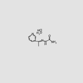 CC(=NNC(N)=O)c1cccnc1.Cl.O